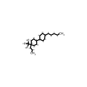 CCCCCC1CCC(C2CCC(CCC)(C(F)(F)F)CC2)CC1